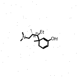 CC[C@H]([C@@H](C)CN(C)C)C1(C)C=C(O)C=CC1